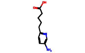 Nc1ccc(CCCCC(=O)O)nc1